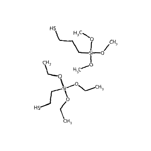 CCO[Si](CCS)(OCC)OCC.CO[Si](CCCS)(OC)OC